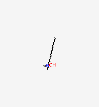 CCCCCCCCCCCCCCCCCCCC(O)N(CCC)CCC